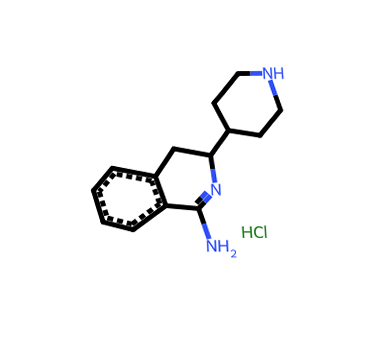 Cl.NC1=NC(C2CCNCC2)Cc2ccccc21